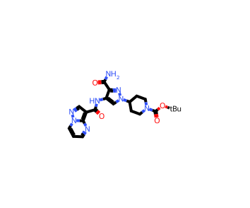 CC(C)(C)OC(=O)N1CCC(n2cc(NC(=O)c3cnn4cccnc34)c(C(N)=O)n2)CC1